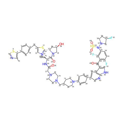 Cc1ncsc1-c1ccc(Cc2cnc([C@@H]3C[C@@H](O)CN3C(=O)[C@@H](NC(=O)CN3CCN(CC4CCN(c5ccc(-c6cnc7[nH]cc(C(=O)c8c(F)ccc(N(N9CC[C@@H](F)C9)[SH](=O)=O)c8F)c7c6)cc5)CC4)CC3)C(C)(C)C)s2)cc1